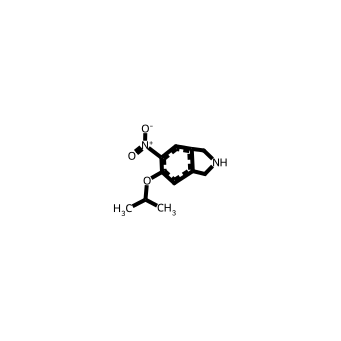 CC(C)Oc1cc2c(cc1[N+](=O)[O-])CNC2